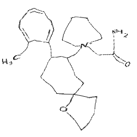 Cc1ccccc1C1CCC2(CCCO2)CC1[N+]1(CC(N)=O)CCCC1